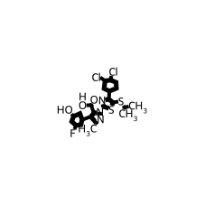 Cc1nn(-c2nc(-c3ccc(Cl)c(Cl)c3)c(SC(C)C)s2)c(C(=O)O)c1-c1cc(O)cc(F)c1